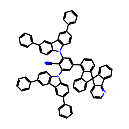 N#Cc1c(-n2c3ccc(-c4ccccc4)cc3c3cc(-c4ccccc4)ccc32)cc(-c2cccc3c2-c2ccccc2C32c3ccccc3-c3ncccc32)cc1-n1c2ccc(-c3ccccc3)cc2c2cc(-c3ccccc3)ccc21